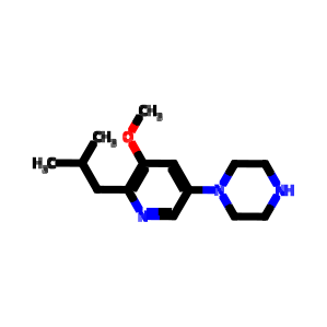 COc1cc(N2CCNCC2)cnc1CC(C)C